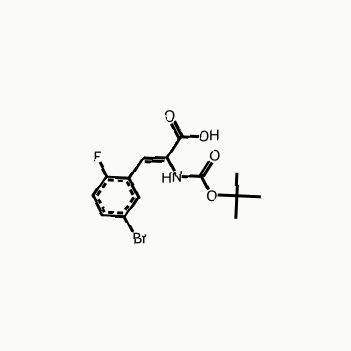 CC(C)(C)OC(=O)NC(=Cc1cc(Br)ccc1F)C(=O)O